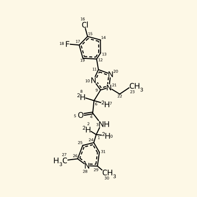 [2H]C([2H])(NC(=O)C([2H])([2H])c1nc(-c2ccc(Cl)c(F)c2)nn1CC)c1cc(C)nc(C)c1